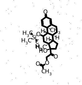 CC(=O)OCC(=O)[C@@]1(O)CC[C@H]2[C@@H]3CCC4=CC(=O)C=C[C@]4(C)[C@H]3C(O[Si](C)(C)C)C[C@@]21C